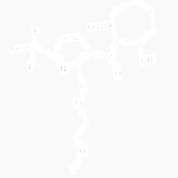 COCCOCc1nc(C(F)(F)F)ccc1C(=O)C1C(=O)CCCCC1O